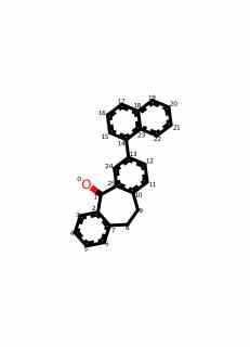 O=C1c2ccccc2CCc2ccc(-c3cccc4ccccc34)cc21